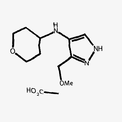 CC(=O)O.COCc1n[nH]cc1NC1CCOCC1